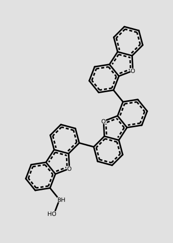 OBc1cccc2c1oc1c(-c3cccc4c3oc3c(-c5cccc6c5oc5ccccc56)cccc34)cccc12